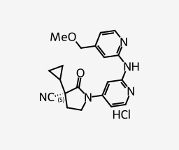 COCc1ccnc(Nc2cc(N3CC[C@@](C#N)(C4CC4)C3=O)ccn2)c1.Cl